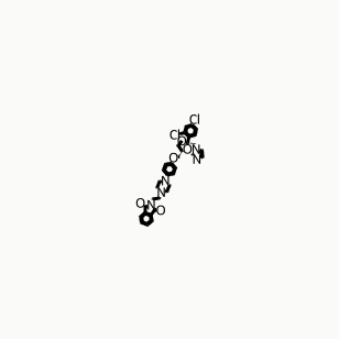 O=C1c2ccccc2C(=O)N1CCN1CCN(c2ccc(OC[C@@H]3CO[C@@](Cn4ccnc4)(c4ccc(Cl)cc4Cl)O3)cc2)CC1